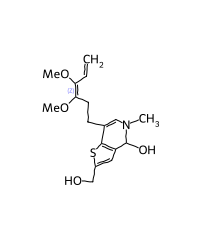 C=C/C(OC)=C(\CCC1=CN(C)C(O)c2cc(CO)sc21)OC